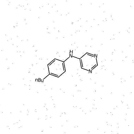 CCCCc1ccc(Nc2cncnc2)cc1